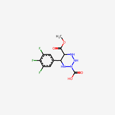 COC(=O)C1NNN(C(=O)O)NC1c1cc(F)c(F)c(F)c1